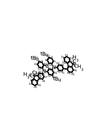 CC(C)(C)c1ccc2c(c1)B1c3cc(C(C)(C)C)ccc3N(c3ccc4c(c3)C(C)(C)c3ccccc3-4)c3cc(C(C)(C)C)cc(c31)N2c1ccc(-c2cccc3c2-c2ccccc2C3(C)C)cc1